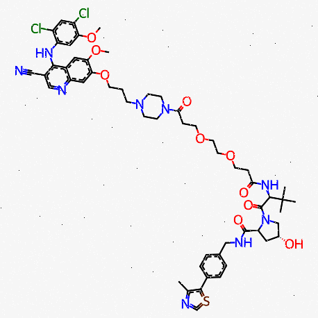 COc1cc(Nc2c(C#N)cnc3cc(OCCCN4CCN(C(=O)CCOCCOCCC(=O)N[C@H](C(=O)N5C[C@H](O)C[C@H]5C(=O)NCc5ccc(-c6scnc6C)cc5)C(C)(C)C)CC4)c(OC)cc23)c(Cl)cc1Cl